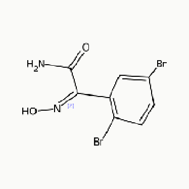 NC(=O)/C(=N\O)c1cc(Br)ccc1Br